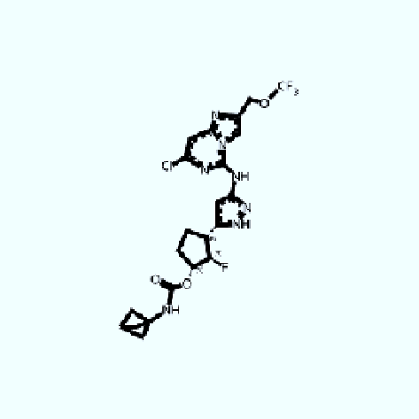 O=C(NC12CC(C1)C2)O[C@@H]1CC[C@H](c2cc(Nc3nc(Cl)cc4nc(COC(F)(F)F)cn34)n[nH]2)[C@H]1F